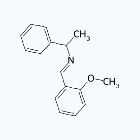 COc1ccccc1C=NC(C)c1ccccc1